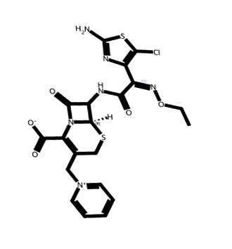 CCO/N=C(\C(=O)NC1C(=O)N2C(C(=O)[O-])=C(C[n+]3ccccc3)CS[C@H]12)c1nc(N)sc1Cl